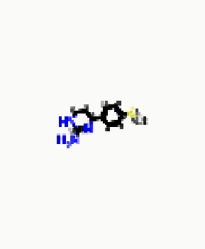 CCSc1ccc(C2CCNC(N)=N2)cc1